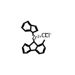 Cc1cccc2c1[CH]([Zr+2][CH]1C=Cc3ccccc31)c1ccccc1-2.[Cl-].[Cl-]